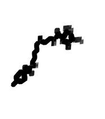 Cc1ccc(S(=O)(=O)NCCCCCN(C)CCNC(=O)c2nc(Cl)c(N)nc2N)cc1